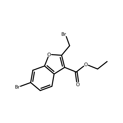 CCOC(=O)c1c(CBr)oc2cc(Br)ccc12